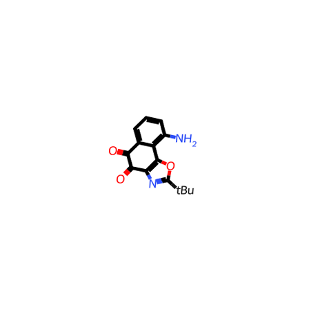 CC(C)(C)c1nc2c(o1)-c1c(N)cccc1C(=O)C2=O